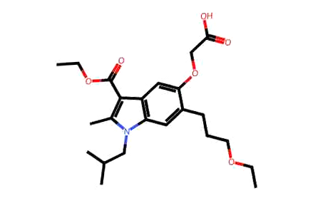 CCOCCCc1cc2c(cc1OCC(=O)O)c(C(=O)OCC)c(C)n2CC(C)C